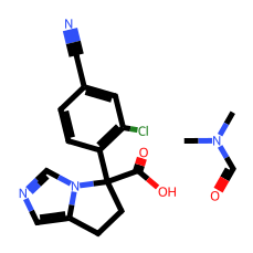 CN(C)C=O.N#Cc1ccc(C2(C(=O)O)CCc3cncn32)c(Cl)c1